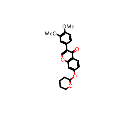 COc1ccc(-c2coc3cc(OC4CCCCO4)ccc3c2=O)cc1OC